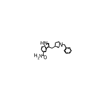 NC(=O)c1ccc2[nH]cc(CC3CCN(Cc4ccccc4)C3)c2c1